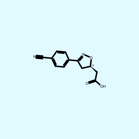 N#Cc1ccc(C2=NO[C@@H](CC(=O)O)C2)cc1